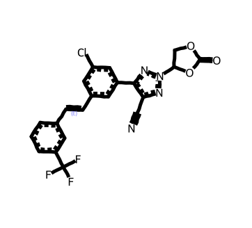 N#Cc1nn(C2COC(=O)O2)nc1-c1cc(Cl)cc(/C=C/c2cccc(C(F)(F)F)c2)c1